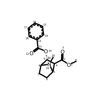 COC(=O)C1C2CCC([C@@H]1OC(=O)c1ccccc1)N2C